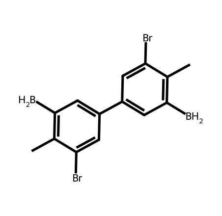 Bc1cc(-c2cc(B)c(C)c(Br)c2)cc(Br)c1C